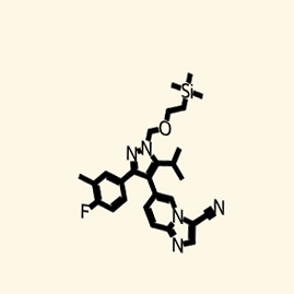 Cc1cc(-c2nn(COCC[Si](C)(C)C)c(C(C)C)c2-c2ccc3ncc(C#N)n3c2)ccc1F